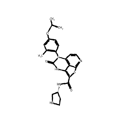 Cc1cc(OC(C)C)ccc1N1C(=O)Nc2c(C(=O)N[C@@H]3CCNC3)sc3nccc1c23